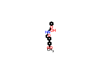 COC(=O)c1ccc(-c2ccc3c(c2)CC[C@H](CNC[C@H](O)COc2ccccc2)O3)cc1